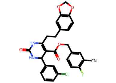 N#Cc1cc(COC(=O)C2=C(CCc3ccc4c(c3)OCO4)NC(=O)NC2c2cccc(Cl)c2)ccc1F